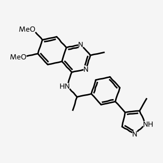 COc1cc2nc(C)nc(NC(C)c3cccc(-c4cn[nH]c4C)c3)c2cc1OC